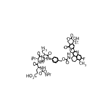 CCCOC(=O)N[C@@H](CCC(=O)O)C(=O)N[C@H](C(=O)N[C@@H](C)C(=O)Nc1ccc(COC(=O)N[C@H]2CCc3c(C)c(F)cc4nc5c(c2c34)Cn2c-5cc3c(c2=O)COC(=O)[C@]3(O)CC)cc1)C(C)C